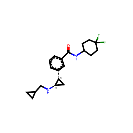 O=C(NC1CCC(F)(F)CC1)c1cccc([C@@H]2C[C@H]2NCC2CC2)c1